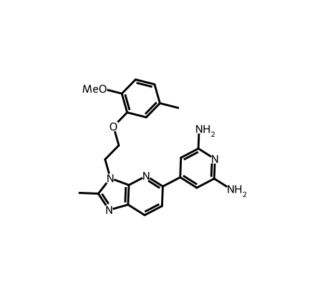 COc1ccc(C)cc1OCCn1c(C)nc2ccc(-c3cc(N)nc(N)c3)nc21